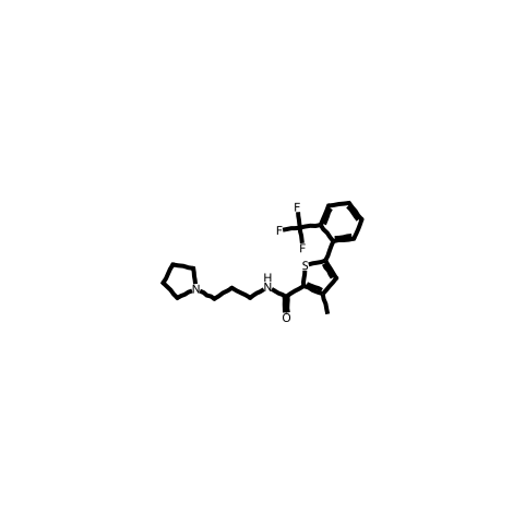 Cc1cc(-c2ccccc2C(F)(F)F)sc1C(=O)NCCCN1CCCC1